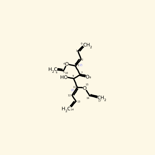 C=C/C=C(\OC=C)C(=O)C(O)/C(=C/C=C)OC=C